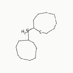 C1CCCCC([SiH2]C2CCCCCCCC2)CCC1